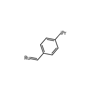 CC(C)c1ccc([CH]=[Ru])cc1